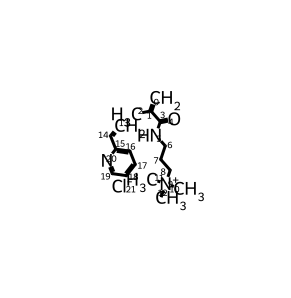 C=C(C)C(=O)NCCC[N+](C)(C)C.C=Cc1ccccn1.[Cl-]